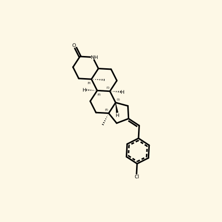 C[C@]12CC[C@@H]3[C@@H](CCC4NC(=O)CC[C@@]43C)[C@@H]1CC(=Cc1ccc(Cl)cc1)C2